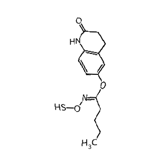 CCCCC(=NOS)Oc1ccc2c(c1)CCC(=O)N2